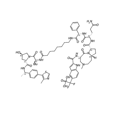 Cc1ncsc1-c1ccc([C@H](C)NC(=O)[C@@H]2C[C@@H](O)CN2C(=O)[C@@H](NC(=O)CCCCCCCNC(=O)[C@@H](NC(=O)[C@H](CCC(N)=O)NC(=O)[C@@H]2CC[C@@H]3CCN(C)C[C@H](NC(=O)c4cc5cc(C(F)(F)P(=O)(O)O)ccc5[nH]4)C(=O)N32)c2ccccc2)C(C)(C)C)cc1